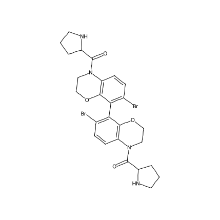 O=C(C1CCCN1)N1CCOc2c1ccc(Br)c2-c1c(Br)ccc2c1OCCN2C(=O)C1CCCN1